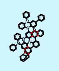 C1=C2CC3CC1N(c1cc4c5c(c1)N(c1c(-c6ccccc6)cccc1-c1ccccc1)c1cc6c(cc1B5c1ccccc1N4c1ccccc1)B1c4ccccc4N(c4ccccc4)c4cc(-c5ccccc5)cc(c41)N6c1ccccc1)C(C2)C3